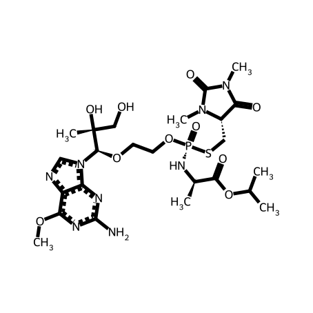 COc1nc(N)nc2c1ncn2[C@H](OCCO[P@](=O)(N[C@H](C)C(=O)OC(C)C)SC[C@H]1C(=O)N(C)C(=O)N1C)[C@](C)(O)CO